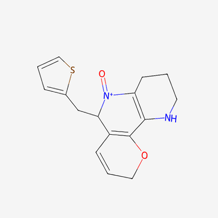 O=[N+]1C2=C(NCCC2)C2=C(C=CCO2)C1Cc1cccs1